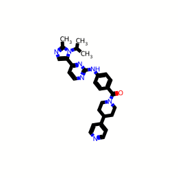 Cc1ncc(-c2ccnc(Nc3ccc(C(=O)N4CCC(c5ccncc5)CC4)cc3)n2)n1C(C)C